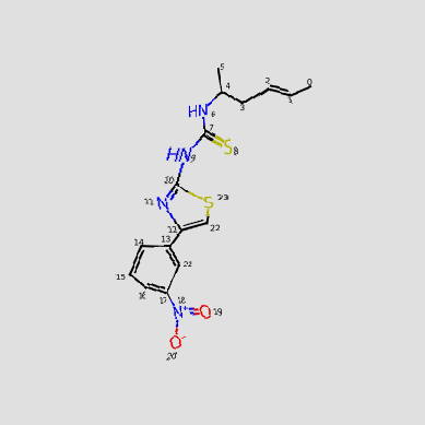 CC=CCC(C)NC(=S)Nc1nc(-c2cccc([N+](=O)[O-])c2)cs1